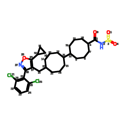 O=C(N[SH](=O)=O)C1CCCC(C2CCCC(Cc3c(-c4c(Cl)cccc4Cl)noc3C3CC3)CCC2)CCC1